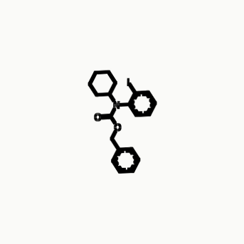 O=C(OCc1ccccc1)N(c1ccccc1I)C1CCCCC1